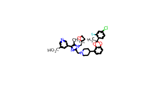 Cc1c(-c2cncc(C(=O)O)c2)nc(CN2CCC(c3cccc4c3O[C@@](C)(c3ccc(Cl)cc3F)O4)CC2)n1C[C@@H]1CCO1